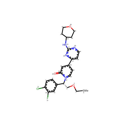 CSCOC[C@H](c1ccc(Cl)c(F)c1)n1ccc(-c2ccnc(NC3CCOCC3)n2)cc1=O